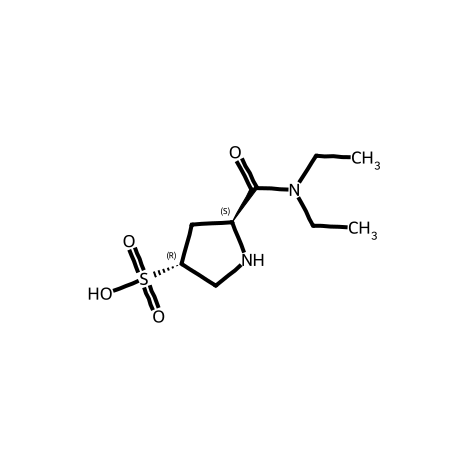 CCN(CC)C(=O)[C@@H]1C[C@@H](S(=O)(=O)O)CN1